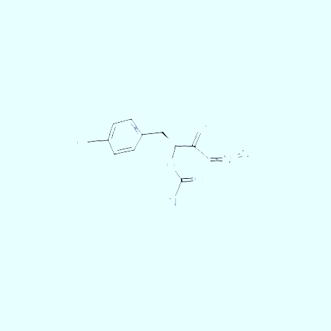 [N-]=[N+]=CC(=O)[C@H](Cc1ccc(Cl)cc1)OC(N)=O